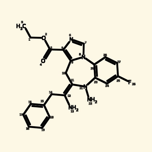 CCOC(=O)c1ncn2c1C/C(=C(/N)Cc1ccccc1)N(N)c1cc(F)ccc1-2